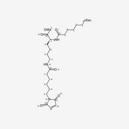 CCCCCCCCCCCCCCCC(=O)N[C@@H](CCCCNC(=O)CCCCCN1C(=O)C=CC1=O)C(=O)OC